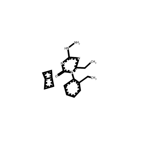 CCc1ccccc1-n1c(CC)nc(NN)nc1=O.c1cc2ccc1-2